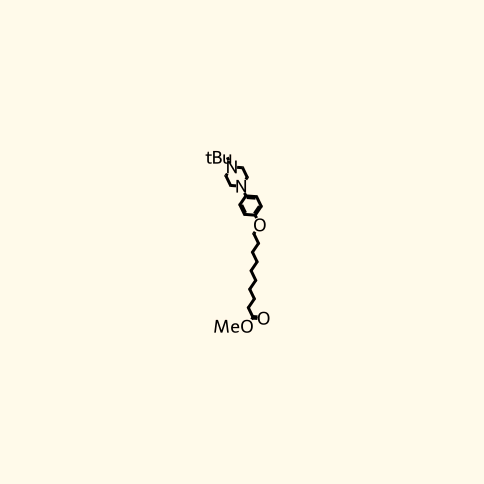 COC(=O)CCCCCCCCCOc1ccc(N2CCN(C(C)(C)C)CC2)cc1